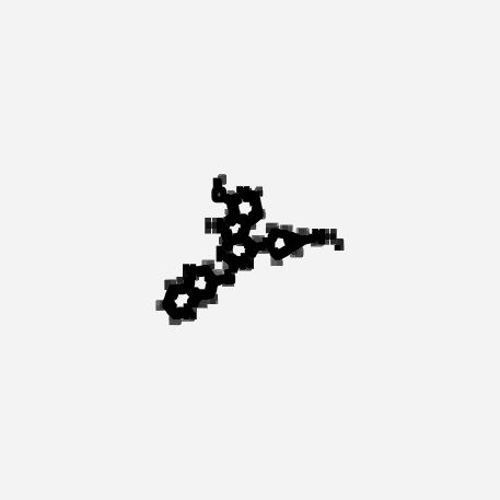 COc1nccc2c1[nH]c1nc(Sc3cnc4cccnc4c3)nc(N3CC4C(N)C4C3)c12